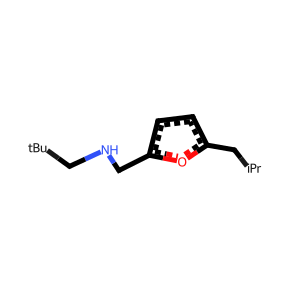 CC(C)Cc1ccc(CNCC(C)(C)C)o1